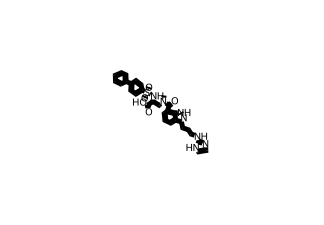 CN(CC(NS(=O)(=O)c1ccc(-c2ccccc2)cc1)C(=O)O)C(=O)c1cccc2c(CCCNc3ncc[nH]3)n[nH]c12